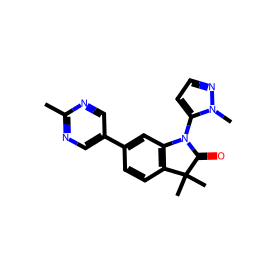 Cc1ncc(-c2ccc3c(c2)N(c2ccnn2C)C(=O)C3(C)C)cn1